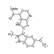 COC(=O)c1ccnc2cc(-c3c4cc(OC(F)(F)F)ccc4nn3C)[nH]c12